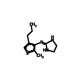 CCCc1csc(C)c1N=C1NCCN1